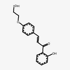 CCCCCCCCCCCCOc1ccc(C=CC(=O)c2ccccc2O)cc1